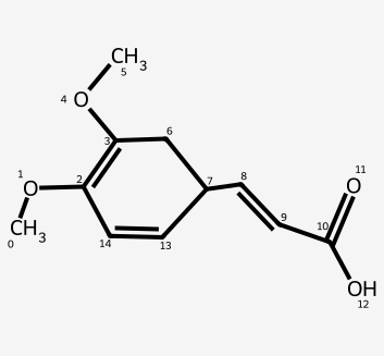 COC1=C(OC)CC(C=CC(=O)O)C=C1